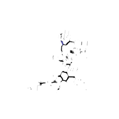 C=CN1CC(Nc2cc3c(cc2CC)N(C)C(NCC(F)P)S3)=NC(=O)N1C/C(C=C(C)C)=C/N=C